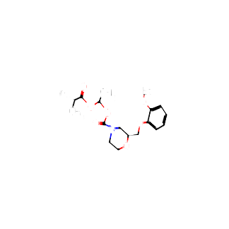 CCOc1ccccc1OC[C@@H]1CN(C(=O)OC(C)OC(=O)[C@H](C)C(C)C)CCO1